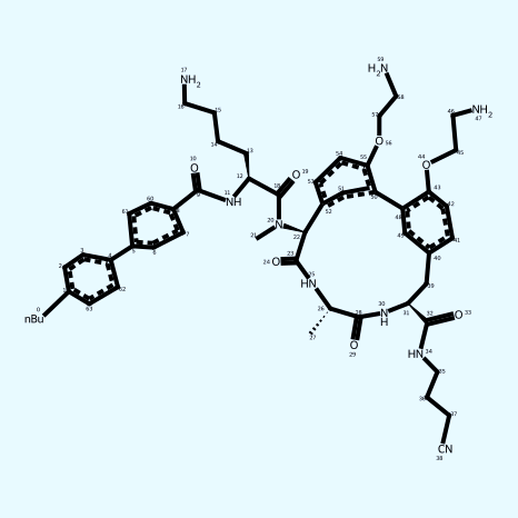 CCCCc1ccc(-c2ccc(C(=O)N[C@@H](CCCCN)C(=O)N(C)[C@@H]3C(=O)N[C@@H](C)C(=O)N[C@H](C(=O)NCCCC#N)Cc4ccc(OCCN)c(c4)-c4cc3ccc4OCCN)cc2)cc1